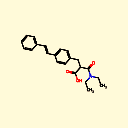 CCN(CC)C(=O)C(Cc1ccc(C=Cc2ccccc2)cc1)C(=O)O